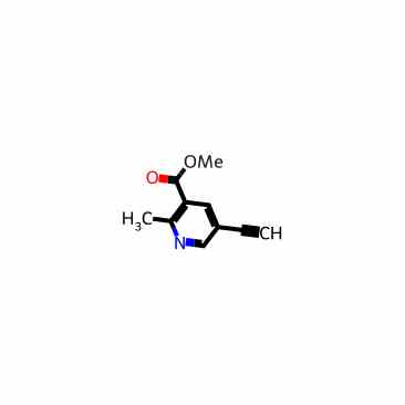 C#Cc1cnc(C)c(C(=O)OC)c1